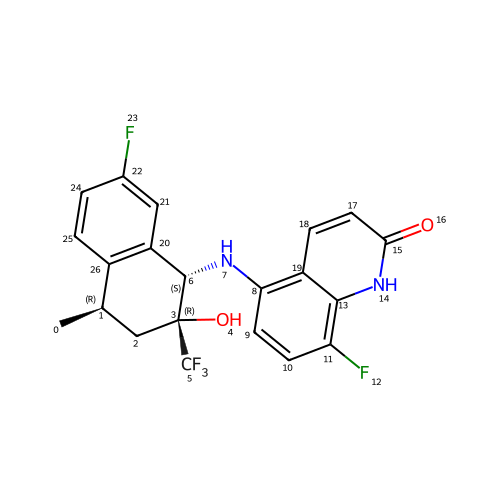 C[C@@H]1C[C@](O)(C(F)(F)F)[C@@H](Nc2ccc(F)c3[nH]c(=O)ccc23)c2cc(F)ccc21